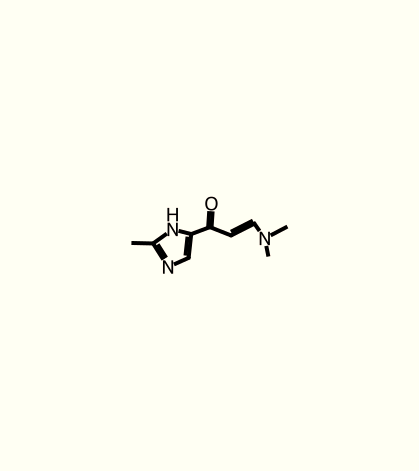 Cc1ncc(C(=O)/C=C/N(C)C)[nH]1